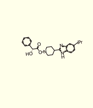 CC(C)c1ccc2[nH]c(C3CCN(OC(=O)[C@H](O)c4ccccc4)CC3)nc2c1